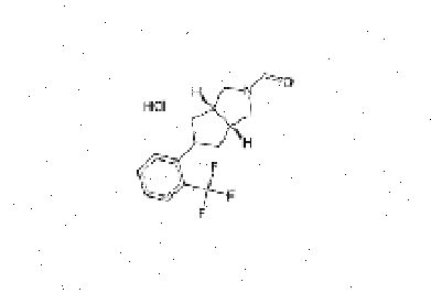 Cl.O=CN1C[C@H]2CC(c3ccccc3C(F)(F)F)C[C@H]2C1